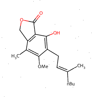 [CH]CCCC(C)=CCc1c(O)c2c(c(C)c1OC)COC2=O